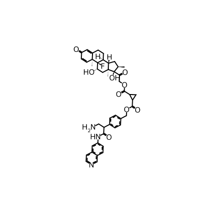 C[C@@H]1C[C@H]2[C@@H]3CCC4=CC(=O)C=C[C@]4(C)[C@@]3(F)[C@@H](O)C[C@]2(C)[C@@]1(O)C(=O)COC(=O)C1CC1C(=O)OCc1ccc(C(CN)C(=O)Nc2ccc3cnccc3c2)cc1